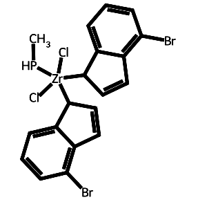 C[PH][Zr]([Cl])([Cl])([CH]1C=Cc2c(Br)cccc21)[CH]1C=Cc2c(Br)cccc21